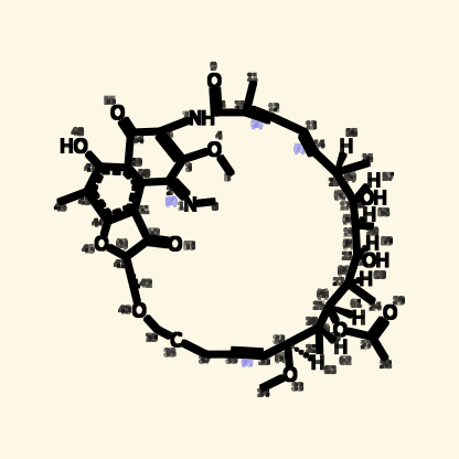 C/N=C1\C(OC)=C2NC(=O)/C(C)=C\C=C\[C@H](C)[C@H](O)[C@@H](C)[C@@H](O)[C@@H](C)[C@H](OC(C)=O)[C@H](C)[C@@H](OC)/C=C/CCCO[C@@]3(C)Oc4c(C)c(O)c(c1c4C3=O)C2=O